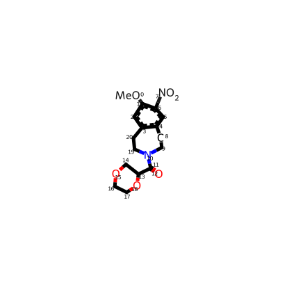 COc1cc2c(cc1[N+](=O)[O-])CCN(C(=O)C1COCCO1)CC2